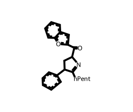 CCCCCC1=NC(C(=O)c2cc3ccccc3o2)CC1c1ccccc1